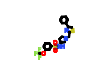 O=S(=O)(N[C@@H]1CCN(Cc2nc(-c3ccccc3)cs2)C1)c1cccc(OC(F)(F)F)c1